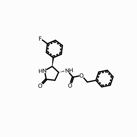 O=C1C[C@@H](NC(=O)OCc2ccccc2)[C@H](c2cccc(F)c2)N1